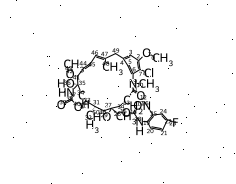 COc1cc2cc(c1Cl)N(C)C(=O)C[C@H](OC(=O)Nc1ccc(F)cc1N)[C@]1(C)O[C@H]1[C@H](C)[C@@H]1C[C@@](O)(NC(=O)O1)[C@H](OC)/C=C/C=C(\C)C2